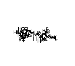 Cc1cc(CNC(=O)Nc2cnc(OCC3CC3)c(C(F)(F)F)c2)nnc1-c1c(C(F)(F)F)n[nH]c1C